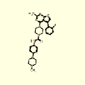 CN1CCN(c2ccc(NC(=O)N3CCN(c4nc(N)nc5scc(-c6ccccc6F)c45)CC3)cc2)CC1